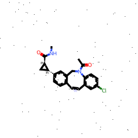 CNC(=O)[C@@H]1C[C@H]1c1ccc2c(c1)CN(C(C)=O)c1ccc(Cl)cc1/C=C\2